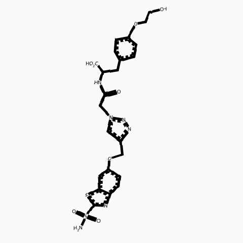 NS(=O)(=O)c1nc2ccc(OCc3cn(CC(=O)NC(Cc4ccc(OCCO)cc4)C(=O)O)nn3)cc2s1